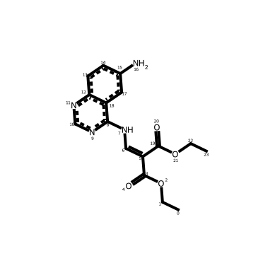 CCOC(=O)C(=CNc1ncnc2ccc(N)cc12)C(=O)OCC